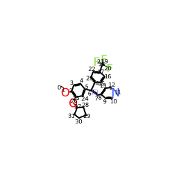 COc1ccc(/C(=C/c2ccncc2)c2ccc(C(F)(F)F)cc2)cc1OC1CCCC1